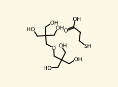 O=C(O)CCS.OCC(CO)(CO)COCC(CO)(CO)CO